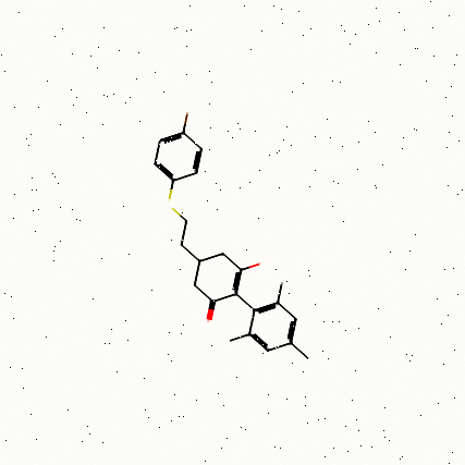 CCc1cc(C)cc(CC)c1C1=C(O)CC(CCSc2ccc(Br)cc2)CC1=O